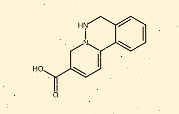 O=C(O)C1=CC=C2c3ccccc3CNN2C1